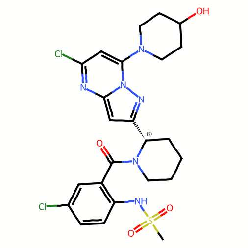 CS(=O)(=O)Nc1ccc(Cl)cc1C(=O)N1CCCC[C@H]1c1cc2nc(Cl)cc(N3CCC(O)CC3)n2n1